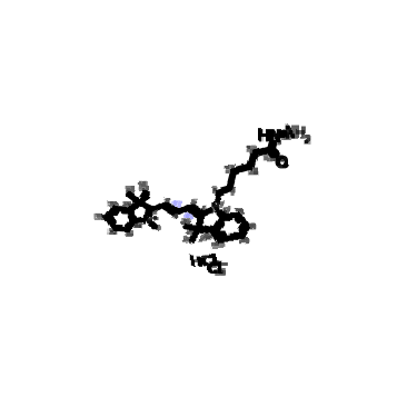 C[N+]1=C(/C=C/C=C2/N(CCCCCC(=O)NN)c3ccccc3C2(C)C)C(C)(C)c2ccccc21.Cl.[Cl-]